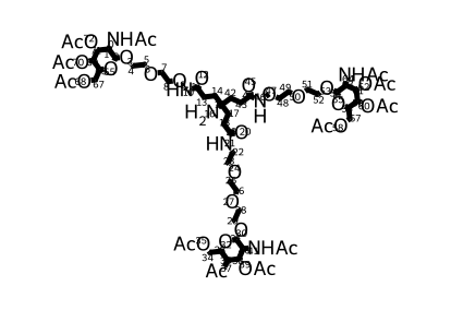 CC(=O)NC1C(OCCOCCONC(=O)CCC(N)(CCC(=O)NCCOCCOCCOC2OC(COC(C)=O)C(C(C)=O)C(OC(C)=O)C2NC(C)=O)CCC(=O)NOCCOCCOC2OC(COC(C)=O)C(OC(C)=O)C(OC(C)=O)C2NC(C)=O)OC(COC(C)=O)C(OC(C)=O)C1OC(C)=O